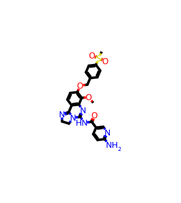 COc1c(OCc2ccc(S(C)(=O)=O)cc2)ccc2c1N=C(NC(=O)c1ccc(N)nc1)N1CCN=C21